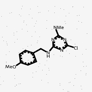 CNc1nc(Cl)nc(NCc2ccc(OC)cc2)n1